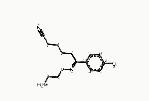 N#CCCCCC(=NOCCN)c1ccc(Cl)cc1